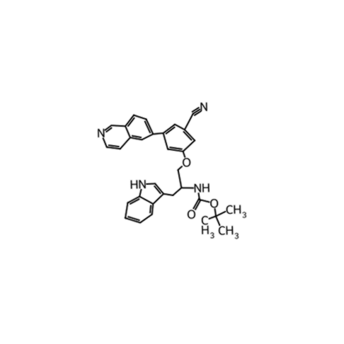 CC(C)(C)OC(=O)NC(COc1cc(C#N)cc(-c2ccc3cnccc3c2)c1)Cc1c[nH]c2ccccc12